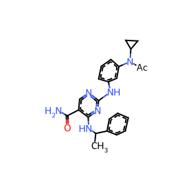 CC(=O)N(c1cccc(Nc2ncc(C(N)=O)c(NC(C)c3ccccc3)n2)c1)C1CC1